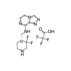 FC1(F)CNCC[C@@H]1CNc1nccn2cnnc12.O=C(O)C(F)(F)F